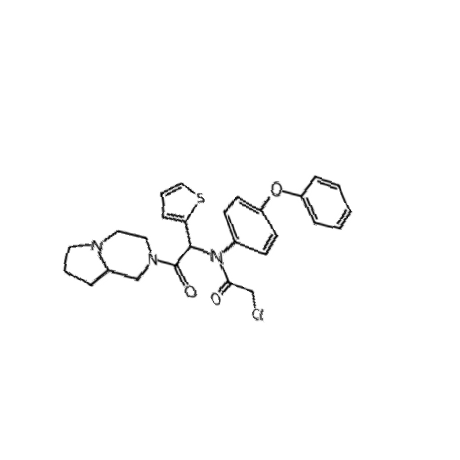 O=C(C(c1cccs1)N(C(=O)CCl)c1ccc(Oc2ccccc2)cc1)N1CCN2CCCC2C1